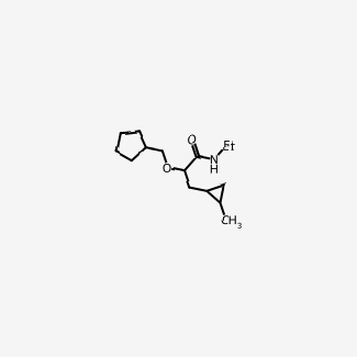 CCNC(=O)C(CC1CC1C)OCC1CCCC1